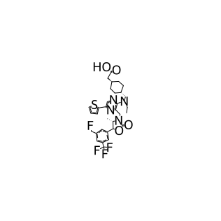 CCN(C[C@H]1CC[C@H](CC(=O)O)CC1)c1ncc(-c2cccs2)nc1CN1C(=O)OC(c2cc(CF)cc(C(F)(F)F)c2)[C@@H]1C